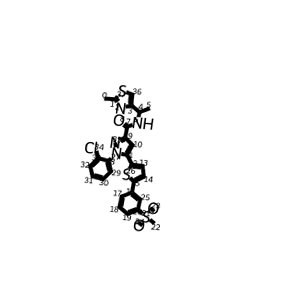 Cc1nc(C(C)NC(=O)c2cc(-c3ccc(-c4cccc(S(C)(=O)=O)c4)s3)n(-c3ccccc3Cl)n2)cs1